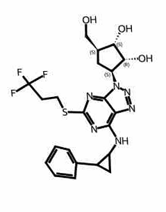 OC[C@@H]1C[C@H](n2nnc3c(NC4CC4c4ccccc4)nc(SCCC(F)(F)F)nc32)[C@@H](O)[C@H]1O